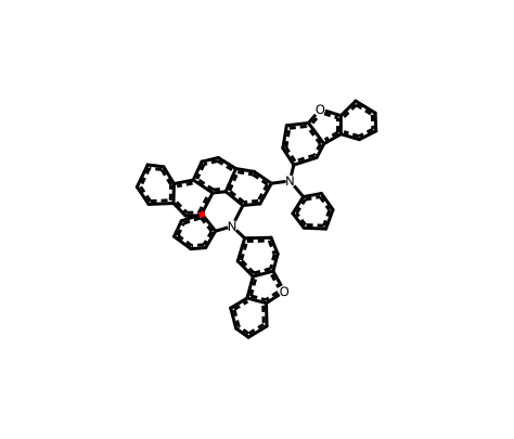 c1ccc(N(c2cc(N(c3ccccc3)c3ccc4oc5ccccc5c4c3)c3c(ccc4c5ccccc5ccc43)c2)c2ccc3oc4ccccc4c3c2)cc1